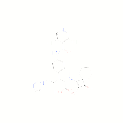 O=C(Nc1ccc(C(CCn2ccnc2)[C@H](NC2=C(Br)C(=O)C23CCCCC3)C(=O)O)cc1)c1c(Cl)cncc1Cl